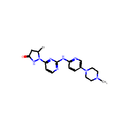 CCC1CC(=O)NN1c1ccnc(Nc2ccc(N3CCN(C)CC3)cn2)n1